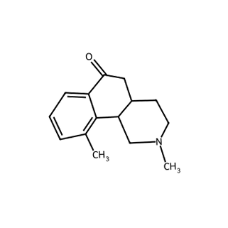 Cc1cccc2c1C1CN(C)CCC1CC2=O